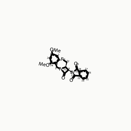 COc1ccc(CN2C(=O)[C@H](N3C(=O)c4ccccc4C3=O)[C@@H]2CF)c(OC)c1